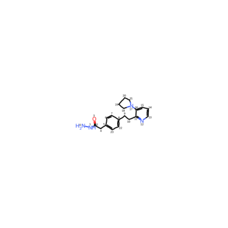 NNC(=O)Cc1ccc(CCc2ncccc2N2CCCC2)cc1